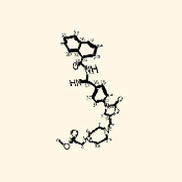 COC(=O)CN1CCN(CC2CN(c3ccc(C(=N)NC(=O)c4cccc5ccccc45)cc3)C(=O)O2)CC1